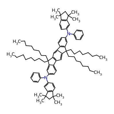 CCCCCCCCC1(CCCCCCCC)c2cc(N(c3ccccc3)c3ccc4c(c3)C(C)(C)CC4(C)C)ccc2-c2cc3c(cc21)-c1ccc(N(c2ccccc2)c2ccc4c(c2)C(C)(C)CC4(C)C)cc1C3(CCCCCCCC)CCCCCCCC